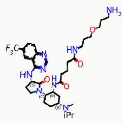 CC(C)N(C)[C@@H]1CC[C@H](N2CC[C@H](Nc3ncnc4ccc(C(F)(F)F)cc34)C2=O)[C@H](NC(=O)CCCC(=O)NCCCOCCCN)C1